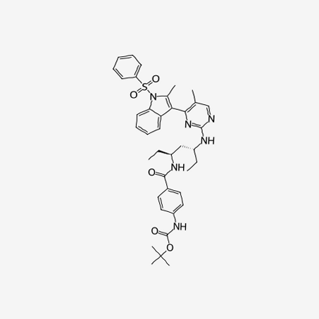 CC[C@@H](C[C@@H](CC)Nc1ncc(C)c(-c2c(C)n(S(=O)(=O)c3ccccc3)c3ccccc23)n1)NC(=O)c1ccc(NC(=O)OC(C)(C)C)cc1